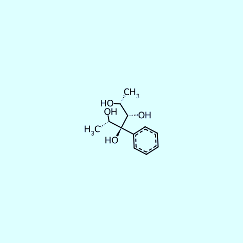 C[C@H](O)[C@@](O)(c1ccccc1)[C@@H](O)[C@@H](C)O